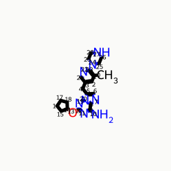 Cc1cc(Cc2cnc3c(N)nc(OC4CCCC4)nn23)cnc1N1CCNCC1